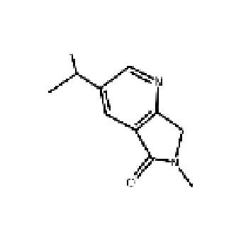 CC(C)c1cnc2c(c1)C(=O)N(C)C2